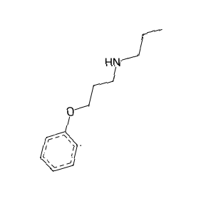 CCCNCCCOc1[c]cccc1